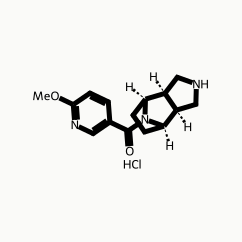 COc1ccc(C(=O)N2[C@@H]3CC[C@H]2[C@H]2CNC[C@H]23)cn1.Cl